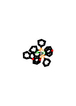 [Cl][Ru]([Cl])(=[C]1C=CC=C2C1=Cc1ccccc12)([PH](c1ccccc1)(c1ccccc1)c1ccccc1)[PH](c1ccccc1)(c1ccccc1)c1ccccc1